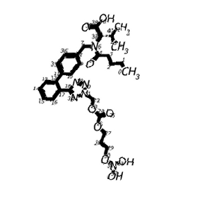 CCCCC(=O)N(Cc1ccc(-c2ccccc2-c2nnn(COC(=O)OCCCON(O)O)n2)cc1)[C@H](C(=O)O)C(C)C